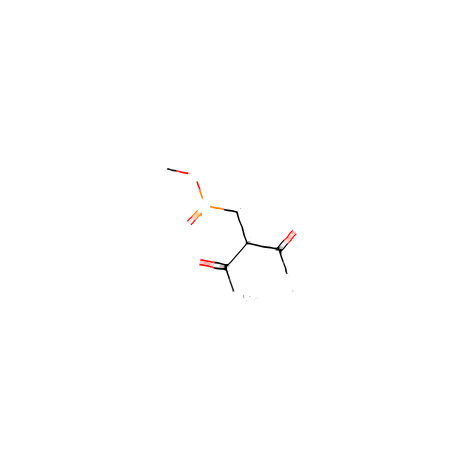 CCO[PH](=O)CC(C(=O)CC)C(=O)OC